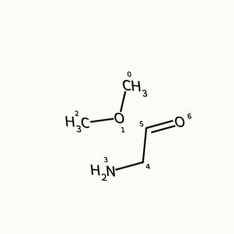 COC.NCC=O